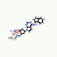 NS(=O)(=O)N(C[C@@H]1C[C@@H](n2ccc3c(N[C@H]4CCc5ccccc54)ncnc32)C[C@@H]1O)C(=O)O